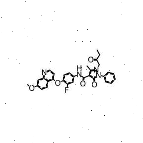 CCC(=O)Cn1c(C)c(C(=O)Nc2ccc(Oc3ccnc4cc(OC)ccc34)c(F)c2)c(=O)n1-c1ccccc1